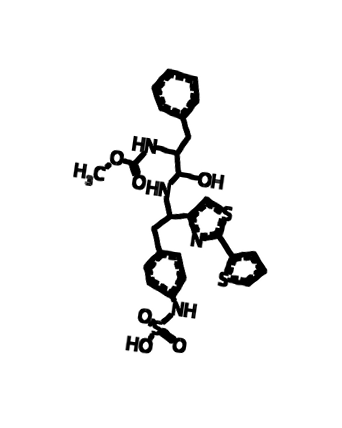 COC(=O)NC(Cc1ccccc1)C(O)NC(Cc1ccc(NS(=O)(=O)O)cc1)c1csc(-c2cccs2)n1